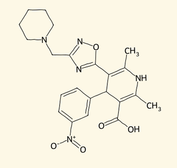 CC1=C(C(=O)O)C(c2cccc([N+](=O)[O-])c2)C(c2nc(CN3CCCCC3)no2)=C(C)N1